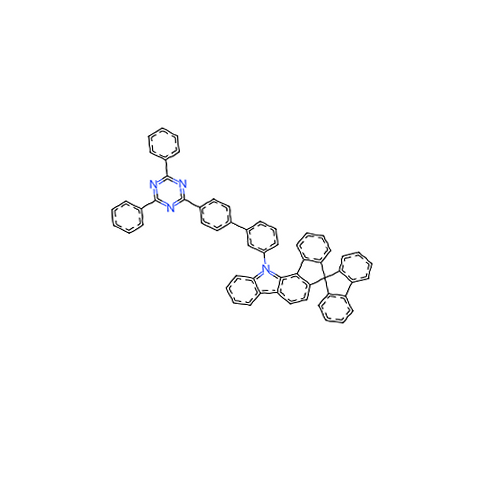 c1ccc(-c2nc(-c3ccccc3)nc(-c3ccc(-c4cccc(-n5c6ccccc6c6ccc7c(c65)-c5ccccc5C75c6ccccc6-c6ccccc65)c4)cc3)n2)cc1